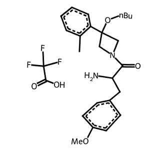 CCCCOC1(c2ccccc2C)CN(C(=O)C(N)Cc2ccc(OC)cc2)C1.O=C(O)C(F)(F)F